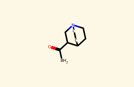 BC(=O)C1CN2CCC1CC2